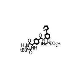 CC(C)(C)OC(=O)NC(C(N)=O)c1ccc(C(=O)Nc2cc(-c3cccs3)ccc2N(C(=O)O)C(C)(C)C)cc1